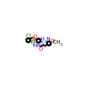 COc1ccc(/C=C2\Sc3ccc(S(=O)(=O)Cc4c(Cl)cccc4Cl)cc3NC2=O)cc1N